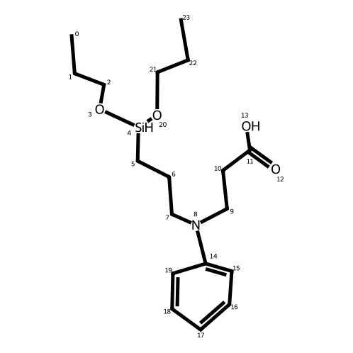 CCCO[SiH](CCCN(CCC(=O)O)c1ccccc1)OCCC